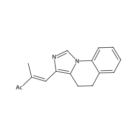 CC(=O)C(C)=Cc1ncn2c1CCc1ccccc1-2